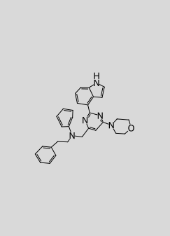 c1ccc(CCN(Cc2cc(N3CCOCC3)nc(-c3cccc4[nH]ccc34)n2)c2ccccc2)cc1